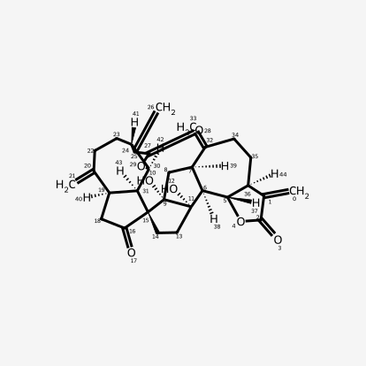 C=C1C(=O)O[C@@H]2[C@@H]3[C@@H](C[C@@]4(O)[C@]3(O)CC[C@]43C(=O)C[C@H]4C(=C)CC[C@H]5C(=C)C(=O)O[C@@H]5[C@H]43)C(=C)CC[C@@H]12